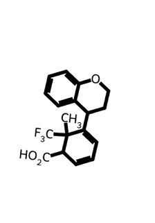 CC1(C(F)(F)F)C(C2CCOc3ccccc32)=CC=CC1C(=O)O